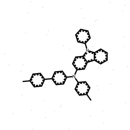 Cc1ccc(-c2ccc(N(c3ccc(C)cc3)c3ccc4c(c3)c3ccccc3n4-c3ccccc3)cc2)cc1